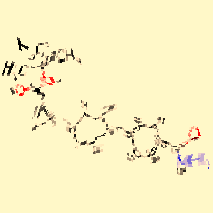 CC(C)(C)OC(=O)[C@@H]1C[C@H]1C1CCC(c2ccc(C(N)=O)cc2)CC1